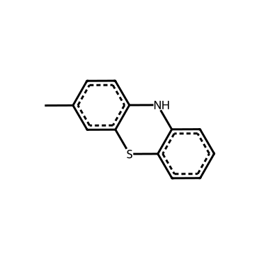 Cc1ccc2c(c1)Sc1ccccc1N2